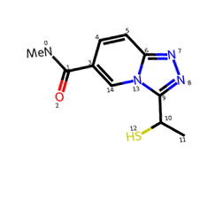 CNC(=O)c1ccc2nnc(C(C)S)n2c1